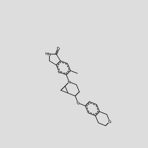 Cc1cc2c(nc1N1CCC(Oc3ccc4c(c3)CCOC4)C3CC31)CNC2=O